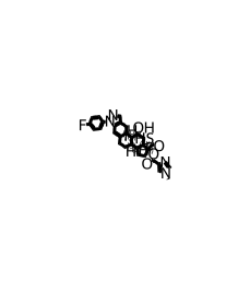 Cn1cnc(C(=O)O[C@]2(C(=O)S)CC[C@H]3[C@@H]4CCC5=Cc6c(cnn6-c6ccc(F)cc6)C[C@]5(C)[C@H]4[C@@H](O)C[C@@]32C)c1